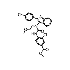 COCCN(C(=O)Nc1ccc(C(=O)OC)cc1Cl)c1c2ccccc2nn1-c1ccc(Cl)cc1